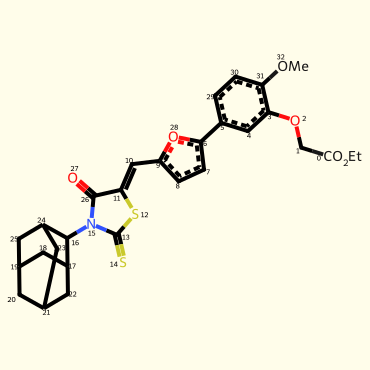 CCOC(=O)COc1cc(-c2ccc(/C=C3\SC(=S)N(C4C5CC6CC(C5)CC4C6)C3=O)o2)ccc1OC